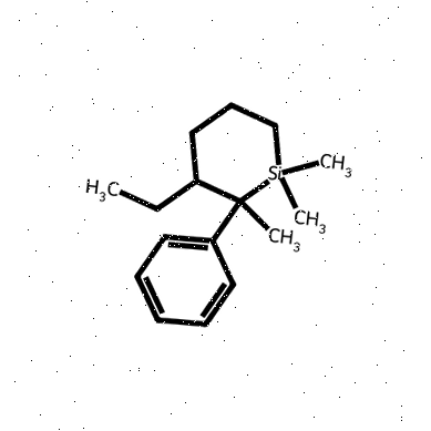 CCC1CCC[Si](C)(C)C1(C)c1ccccc1